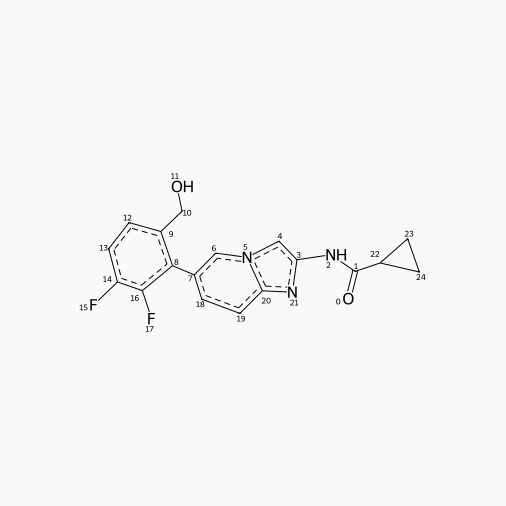 O=C(Nc1cn2cc(-c3c(CO)ccc(F)c3F)ccc2n1)C1CC1